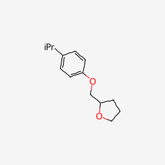 CC(C)c1ccc(OCC2CCCO2)cc1